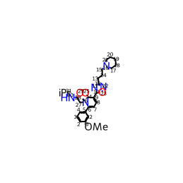 COc1cccc(-c2ccc(-c3nc(CCCN4CCCCC4)no3)c(=O)n2CC(=O)NC(C)C)c1